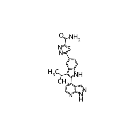 CC(C)c1c(-c2ccnc3[nH]ncc23)[nH]c2ccc(-c3nnc(C(N)=O)s3)cc12